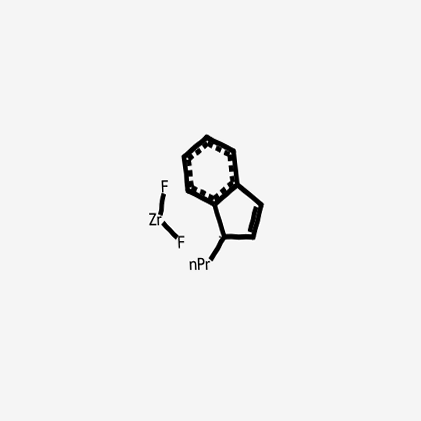 CCC[C]1C=Cc2ccccc21.[F][Zr][F]